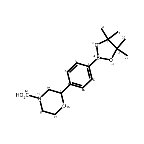 CC1(C)OB(c2ccc(C3CN(C(=O)O)CCO3)cc2)OC1(C)C